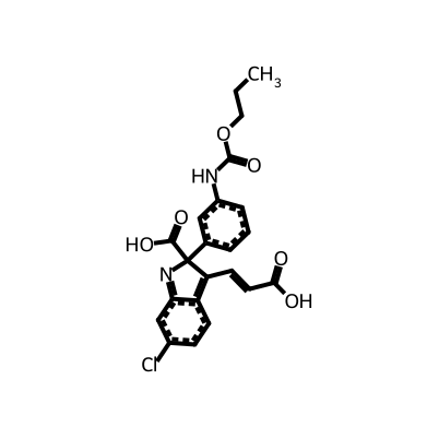 CCCOC(=O)Nc1cccc(C2(C(=O)O)N=c3cc(Cl)ccc3=C2C=CC(=O)O)c1